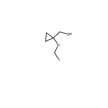 OCC1(OCI)CC1